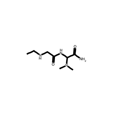 CCNCC(=O)NC(C(N)=O)N(C)C